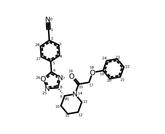 N#Cc1ccc(-c2nc([C@H]3CCCCN3C(=O)COc3ccccc3)no2)cc1